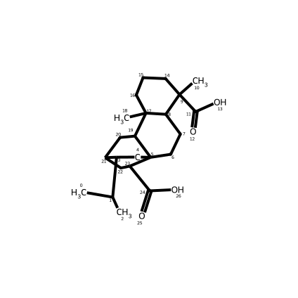 CC(C)C1CC23CCC4C(C)(C(=O)O)CCCC4(C)C2CC1CC3C(=O)O